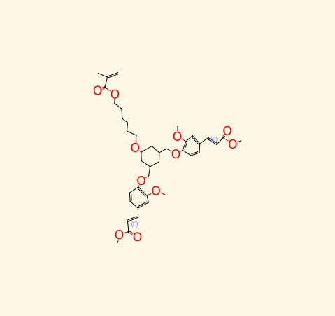 C=C(C)C(=O)OCCCCCCOC1CC(COc2ccc(/C=C/C(=O)OC)cc2OC)CC(COc2ccc(/C=C/C(=O)OC)cc2OC)C1